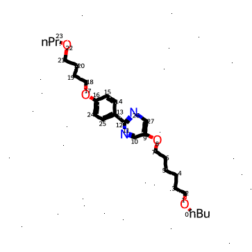 CCCCOCCCCCCOc1cnc(-c2ccc(OCCCCOCCC)cc2)nc1